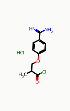 CC(COc1ccc(C(=N)N)cc1)C(=O)Cl.Cl